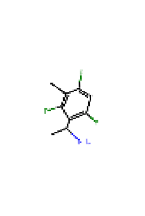 Cc1c(F)cc(F)c(C(C)N)c1F